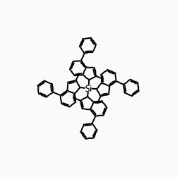 CC1=Cc2c(-c3ccccc3)cccc2C1[Si](C1C(C)=Cc2c(-c3ccccc3)cccc21)(C1C(C)=Cc2c(-c3ccccc3)cccc21)C1C(C)=Cc2c(-c3ccccc3)cccc21